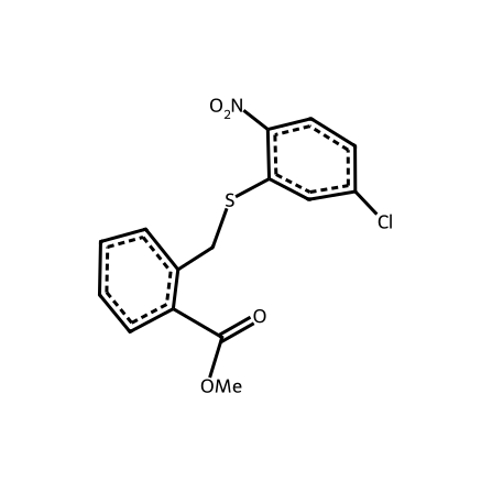 COC(=O)c1ccccc1CSc1cc(Cl)ccc1[N+](=O)[O-]